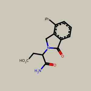 CC(C)c1cccc2c1CN(C(CC(=O)O)C(N)=O)C2=O